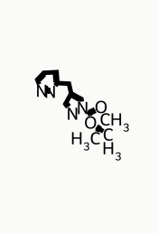 CC(C)(C)OC(=O)n1cc(Cc2cccnn2)cn1